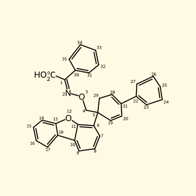 O=C(O)C(=NOCC1(c2cccc3c2oc2ccccc23)C=CC(c2ccccc2)=CC1)c1ccccc1